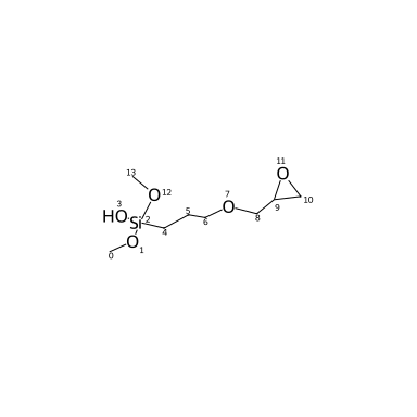 CO[Si](O)(CCCOCC1CO1)OC